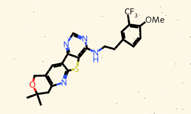 COc1ccc(CCNc2ncnc3c2sc2nc4c(cc23)COC(C)(C)C4)cc1C(F)(F)F